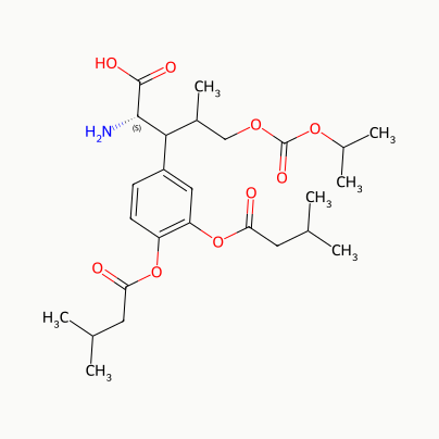 CC(C)CC(=O)Oc1ccc(C(C(C)COC(=O)OC(C)C)[C@H](N)C(=O)O)cc1OC(=O)CC(C)C